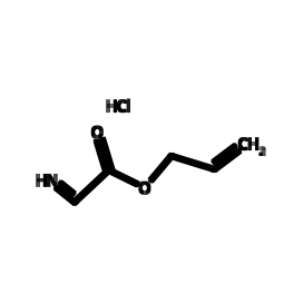 C=CCOC(=O)C=N.Cl